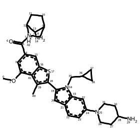 COc1cc(C(=O)N2CC3CCC2[C@@H]3N)cc2sc(-c3cc4ccc(N5CCC(N)CC5)cc4n3CC3CC3)c(C)c12